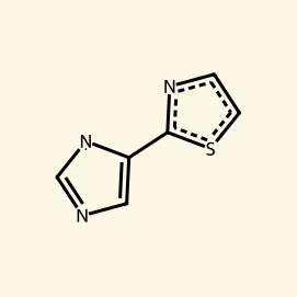 C1=NC=C(c2nccs2)[N]1